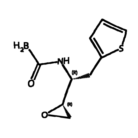 BC(=O)N[C@H](Cc1cccs1)[C@@H]1CO1